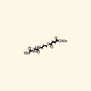 COC(=O)/C=C/C(=O)OCCCNC(=O)CNC(=O)C(C)(C)C